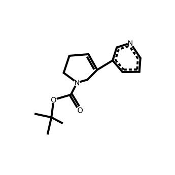 CC(C)(C)OC(=O)N1CCC=C(c2cccnc2)C1